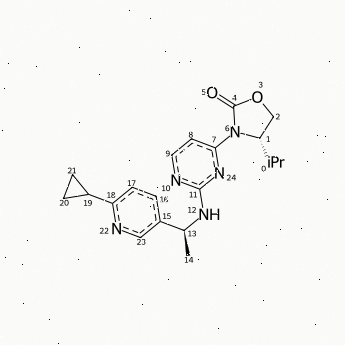 CC(C)[C@H]1COC(=O)N1c1ccnc(N[C@@H](C)c2ccc(C3CC3)nc2)n1